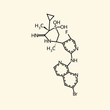 C[C@@]1(c2cc(Nc3nccc4cc(Br)cnc34)ncc2F)CS(O)(O)[C@@](C)(C2CC2)C(=N)N1